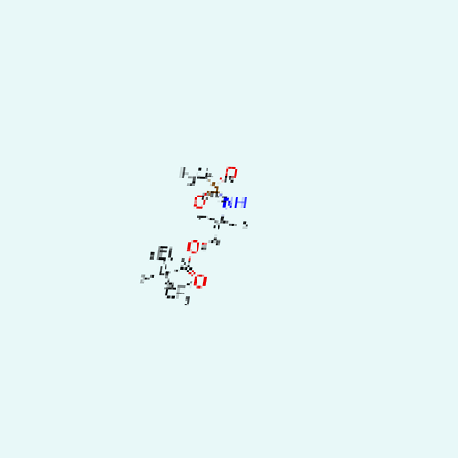 CCC(C)(C(=O)OCC(C)(C)NS(=O)(=O)C(F)(F)F)C(F)(F)F